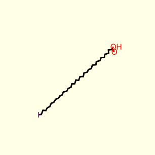 O=C(O)CCCCCCCCCCCCCCCCCCCCCCCCCCCCCCCCCCI